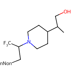 CCCCCCCCCCC(N1CCC(C(C)CO)CC1)C(F)(F)F